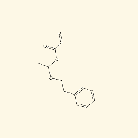 C=CC(=O)OC(C)OCCc1ccccc1